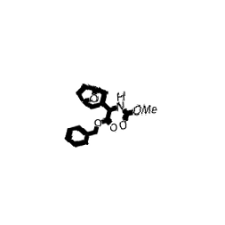 COC(=O)NC(C(=O)OCc1ccccc1)C1CC2C=CC(C1)O2